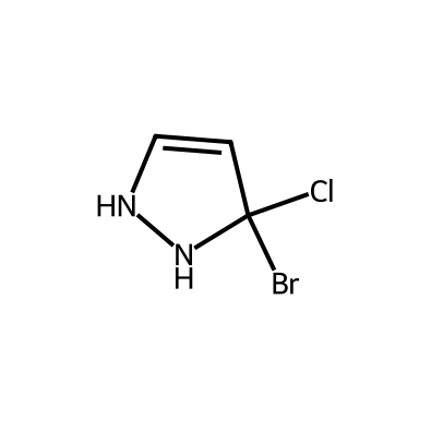 ClC1(Br)C=CNN1